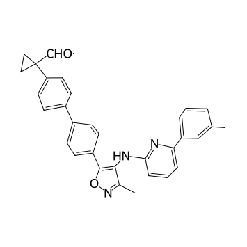 Cc1cccc(-c2cccc(Nc3c(C)noc3-c3ccc(-c4ccc(C5([C]=O)CC5)cc4)cc3)n2)c1